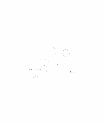 COc1ccc(CC(CCN)N2CCN(C(CCN)Cc3ccc(OC)c(OC)c3)CC2)cc1OC